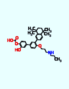 CCCNCCCOc1ccc(-c2ccc(OC(=O)O)c(O)c2)cc1-c1ccc2c(c1)C(C)(C)CCC2(C)C